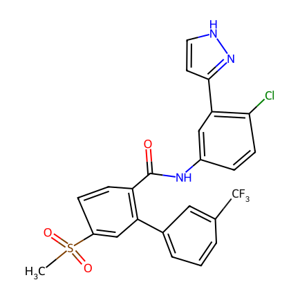 CS(=O)(=O)c1ccc(C(=O)Nc2ccc(Cl)c(-c3cc[nH]n3)c2)c(-c2cccc(C(F)(F)F)c2)c1